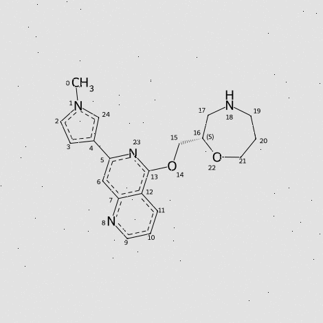 Cn1ccc(-c2cc3ncccc3c(OC[C@@H]3CNCCCO3)n2)c1